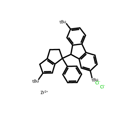 CC(C)(C)C1=CC2=C(CCC2(c2ccccc2)C2c3cc(C(C)(C)C)ccc3-c3ccc(C(C)(C)C)cc32)C1.[Cl-].[Cl-].[Zr+2]